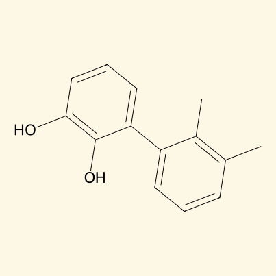 Cc1cccc(-c2cccc(O)c2O)c1C